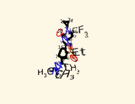 CCS(=O)(=O)c1cc(/C(C)=N/N(C)C)ccc1-c1cn2c(=O)n(C3CC3)c(C(F)(F)F)cc2n1